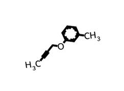 CC#CCOc1cccc(C)c1